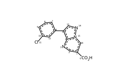 O=C(O)c1cnc2c(-c3cccc(Cl)c3)cnn2c1